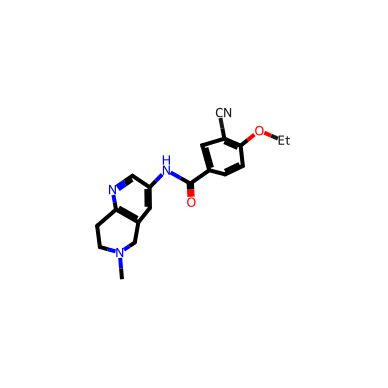 CCOc1ccc(C(=O)Nc2cnc3c(c2)CN(C)CC3)cc1C#N